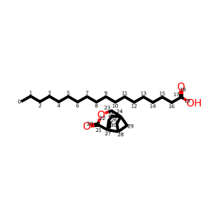 CCCCCCCCCCCCCCCCCC(=O)O.O=C1OCC23CC=C1C(C2)C3